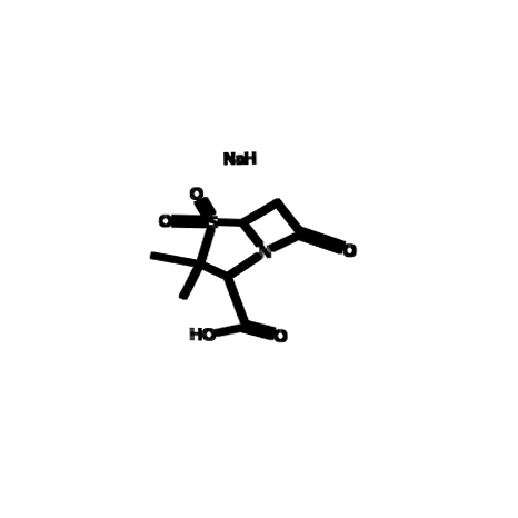 CC1(C)C(C(=O)O)N2C(=O)CC2S1(=O)=O.[NaH]